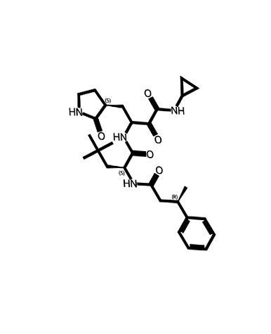 C[C@H](CC(=O)N[C@@H](CC(C)(C)C)C(=O)NC(C[C@@H]1CCNC1=O)C(=O)C(=O)NC1CC1)c1ccccc1